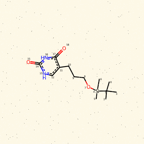 CC(C)(C)[Si](C)(C)OCCCc1c[nH]c(=O)[nH]c1=O